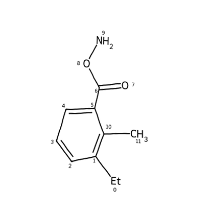 CCc1cccc(C(=O)ON)c1C